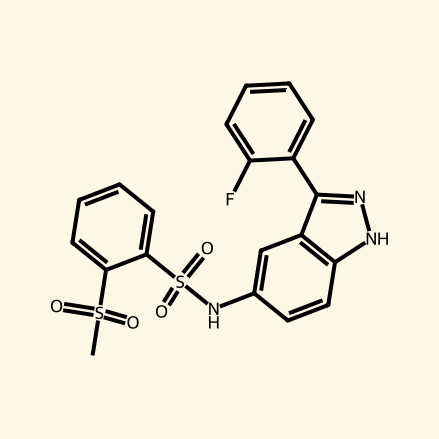 CS(=O)(=O)c1ccccc1S(=O)(=O)Nc1ccc2[nH]nc(-c3ccccc3F)c2c1